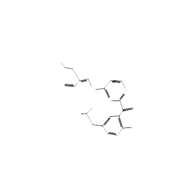 CCC/C(C=N)=C/Nc1ccnc(C(=N)c2cc(CC(C)C)ccc2N)n1